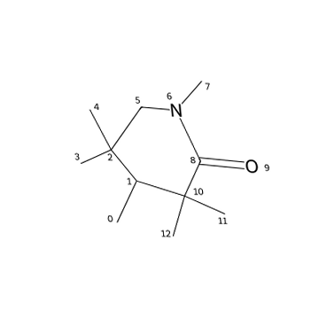 CC1C(C)(C)CN(C)C(=O)C1(C)C